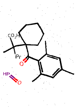 Cc1cc(C)c(C(=O)C2(C(C)(C(=O)O)C(C)C)CCCCC2)c(C)c1.O=P